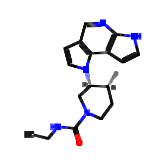 C[C@@H]1CCN(C(=O)NCC#N)C[C@@H]1n1ccc2cnc3[nH]ccc3c21